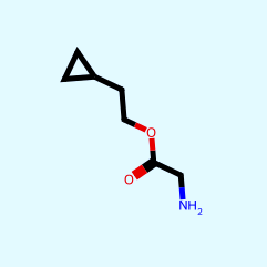 NCC(=O)OCCC1CC1